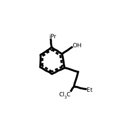 CCC(Cc1cccc(C(C)C)c1O)C(Cl)(Cl)Cl